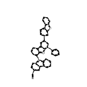 N#Cc1ccc2c(c1)c1ccccc1n2-c1cccc2c1oc1c(-c3ccccc3)cc(-c3ccc4c(c3)oc3ccccc34)cc12